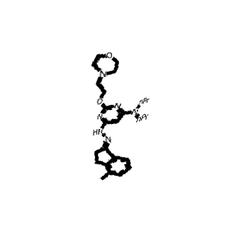 CCCN(CCC)c1cc(N/N=C2\CCc3c(C)cccc32)nc(OCCN2CCOCC2)n1